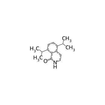 CC(C)c1ccc(C(C)C)c2c(=O)[nH]ccc12